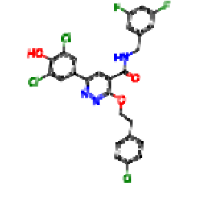 O=C(NCc1cc(F)cc(F)c1)c1cc(-c2cc(Cl)c(O)c(Cl)c2)nnc1OCCc1ccc(Cl)cc1